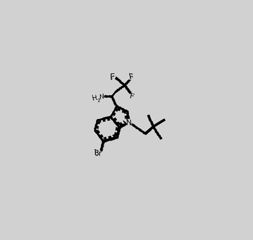 CC(C)(C)Cn1cc(C(N)C(F)(F)F)c2ccc(Br)cc21